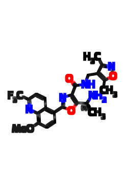 COc1ccc(-c2nc(C(=O)NCc3c(C)noc3C)c([C@H](C)N)o2)c2ccc(C(F)(F)F)nc12